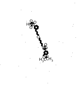 CC1(C)OCc2cc([C@@H]3CN(CCCCCCOCCCCc4cccc(N5C(=O)NC(=O)C5=O)c4)C(=O)O3)ccc2O1